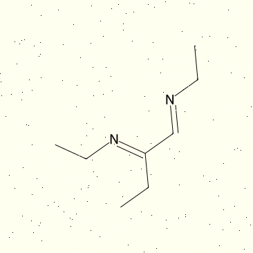 CCN=CC(CC)=NCC